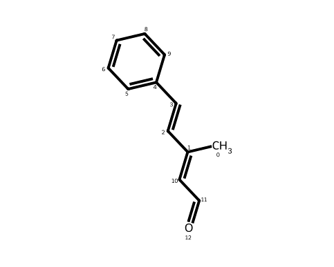 CC(/C=C/c1ccccc1)=C\C=O